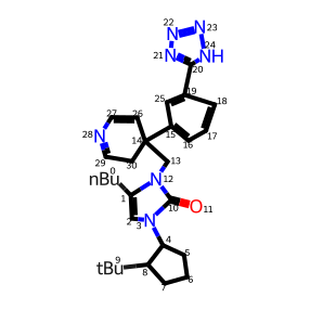 CCCCc1cn(C2CCCC2C(C)(C)C)c(=O)n1CC1(c2cccc(-c3nnn[nH]3)c2)C=CN=CC1